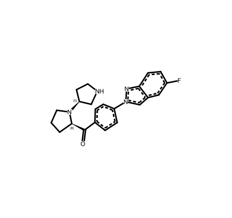 O=C(c1ccc(-n2cc3cc(F)ccc3n2)cc1)[C@H]1CCCN1[C@H]1CCNC1